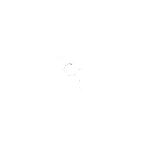 C=CCN1C=CC(N)=NN1